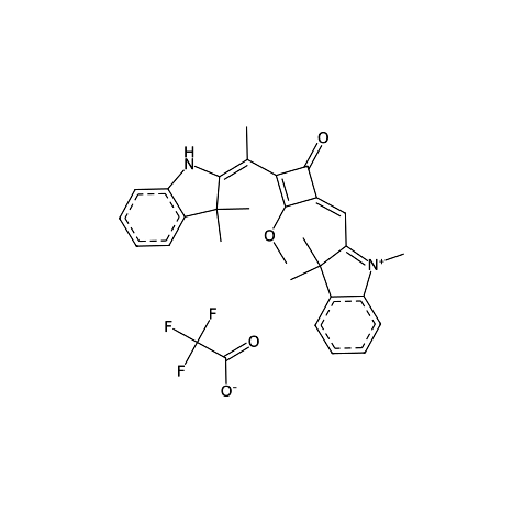 COC1=C(C(C)=C2Nc3ccccc3C2(C)C)C(=O)C1=CC1=[N+](C)c2ccccc2C1(C)C.O=C([O-])C(F)(F)F